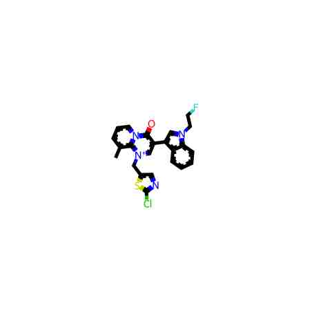 Cc1cccn2c(=O)c(-c3cn(CCF)c4ccccc34)c[n+](Cc3cnc(Cl)s3)c12